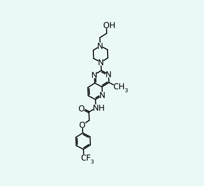 Cc1nc(N2CCN(CCO)CC2)nc2ccc(NC(=O)COc3ccc(C(F)(F)F)cc3)nc12